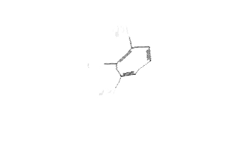 [CH2]c1c(CCCC)cccc1CCCC